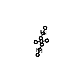 c1ccc(-c2ncc(-c3ccc4c(-c5ccccc5)c5cc(-c6cnc(-c7ccccc7)nc6)ccc5c(-c5ccccc5)c4c3)cn2)cc1